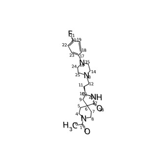 CC(=O)N1CCC2(CC1)C[C@@H](CCN1CCN(c3ccc(F)cc3)CC1)NC2=O